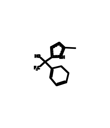 Cc1ccc(C(O)(C2=CC=CCC2)C(F)(F)F)[nH]1